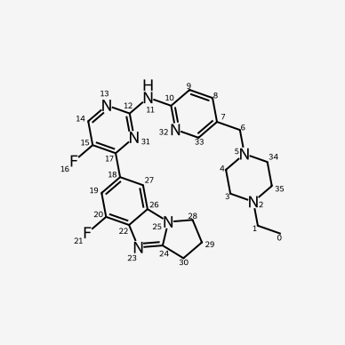 CCN1CCN(Cc2ccc(Nc3ncc(F)c(-c4cc(F)c5nc6n(c5c4)CCC6)n3)nc2)CC1